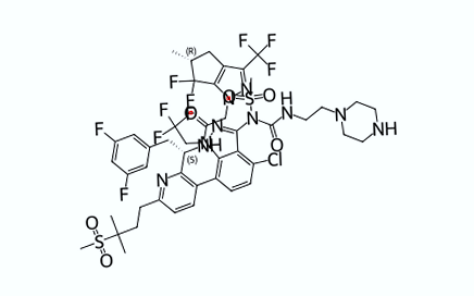 C[C@@H]1Cc2c(C(F)(F)F)nn(CC(=O)N[C@@H](Cc3cc(F)cc(F)c3)c3nc(CCC(C)(C)S(C)(=O)=O)ccc3-c3ccc(Cl)c4c(N(C(=O)NCCN5CCNCC5)S(C)(=O)=O)nn(CC(F)(F)F)c34)c2C1(F)F